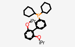 CC(C)Oc1cccc(OC(C)C)c1-c1cccc(P(C2CCCCC2)C2CCCCC2)c1